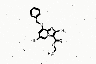 CCOC(=O)c1c(C)nc2c(OCc3ccccc3)cc(Br)cn12